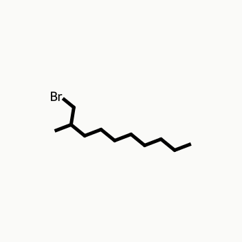 CCCCCCCCC(C)CBr